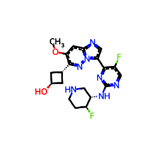 COc1cc2ncc(-c3nc(N[C@H]4CNCC[C@@H]4F)ncc3F)n2nc1[C@H]1C[C@H](O)C1